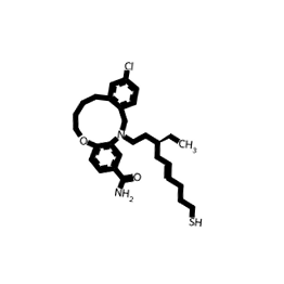 CC[C@@H](C/C=C/CCCS)CCN1Cc2ccc(Cl)cc2CCCCOc2ccc(C(N)=O)cc21